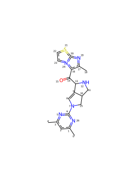 Cc1cc(C)nc(N2C=C3C(CNC3C(=O)c3c(C)nc4sccn34)C2)n1